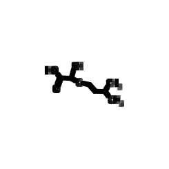 CC(C)CCCC(S)C(=O)O